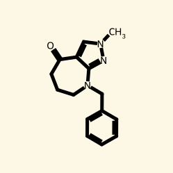 Cn1cc2c(n1)N(Cc1ccccc1)CCCC2=O